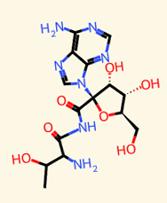 CC(O)C(N)C(=O)NC(=O)[C@@]1(n2cnc3c(N)ncnc32)O[C@H](CO)[C@@H](O)[C@H]1O